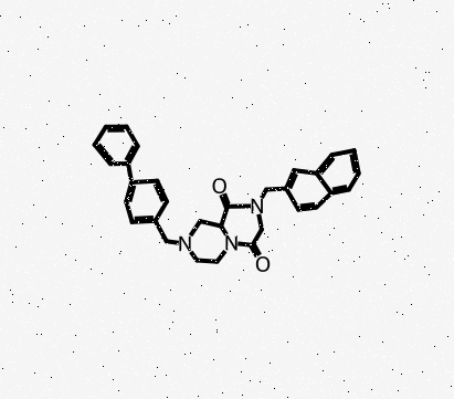 O=C1C2CN(Cc3ccc(-c4ccccc4)cc3)CCN2C(=O)CN1Cc1ccc2ccccc2c1